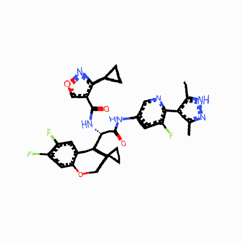 Cc1n[nH]c(C)c1-c1ncc(NC(=O)[C@@H](NC(=O)c2conc2C2CC2)C2c3cc(F)c(F)cc3OCC23CC3)cc1F